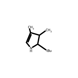 CC1=CNC(C(C)(C)C)C1C